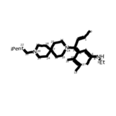 C/C=C/C(=C(\C=C(/C)NCC)C(/C)=C/C)N1CCC2(CCN(CC(C)CCC)CC2)CC1